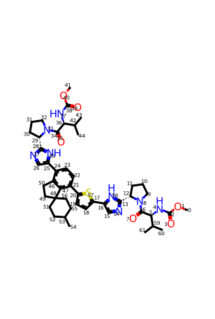 COC(=O)N[C@H](C(=O)N1CCC[C@H]1c1ncc(-c2ccc(-c3ccc(-c4cnc([C@@H]5CCCN5C(=O)[C@@H](NC(=O)OC)C(C)C)[nH]4)c4c3C3(CC4)CCC(C)CC3)s2)[nH]1)C(C)C